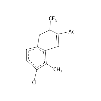 CC(=O)C1=Cc2c(ccc(Cl)c2C)CC1C(F)(F)F